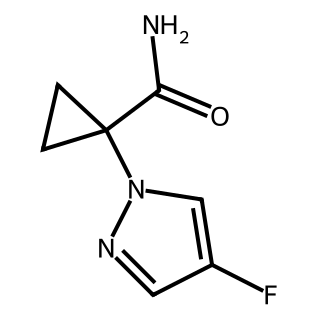 NC(=O)C1(n2cc(F)cn2)CC1